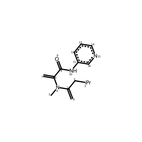 C=C(CC(C)C)N(C)C(=C)C(=O)Nc1cccnc1